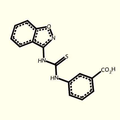 O=C(O)c1cccc(NC(=S)Nc2noc3ccccc23)c1